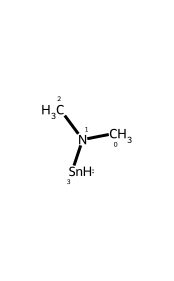 C[N](C)[SnH]